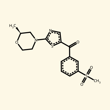 C[C@H]1CN(c2ncc(C(=O)c3cccc(S(C)(=O)=O)c3)s2)CCO1